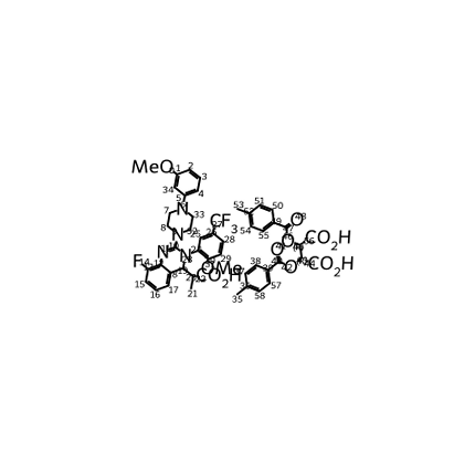 COc1cccc(N2CCN(C3=Nc4c(F)cccc4C(C(C)C(=O)O)N3c3cc(C(F)(F)F)ccc3OC)CC2)c1.Cc1ccc(C(=O)O[C@@H](C(=O)O)[C@@H](OC(=O)c2ccc(C)cc2)C(=O)O)cc1